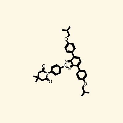 CC(C)COc1ccc(-c2ccc(-c3ccc(OCC(C)C)cc3)c3nn(-c4ccc(N5C(=O)CC(C)(C)CC5=O)cc4)nc23)cc1